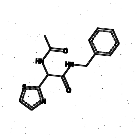 CC(=O)NC(C(=O)NCc1ccccc1)c1nccs1